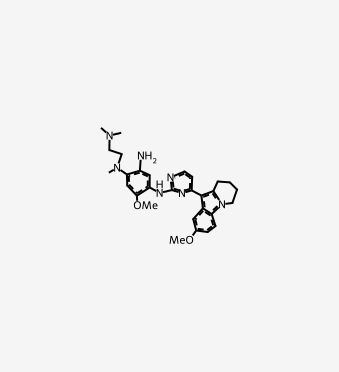 COc1ccc2c(c1)c(-c1ccnc(Nc3cc(N)c(N(C)CCN(C)C)cc3OC)n1)c1n2CCCC1